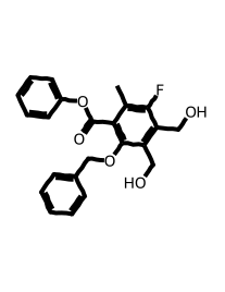 Cc1c(F)c(CO)c(CO)c(OCc2ccccc2)c1C(=O)Oc1ccccc1